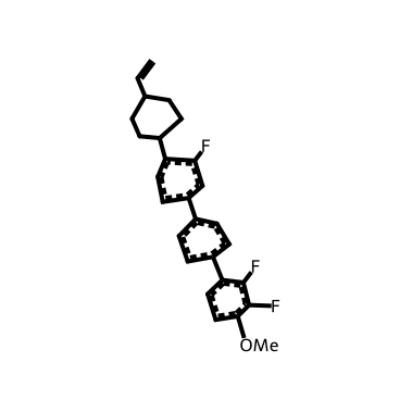 C=CC1CCC(c2ccc(-c3ccc(-c4ccc(OC)c(F)c4F)cc3)cc2F)CC1